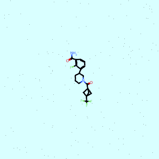 NC(=O)c1cccc(C2CCCN(C(=O)C34CC(C(F)(F)F)(C3)C4)C2)c1F